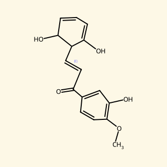 COc1ccc(C(=O)/C=C/C2C(O)=CC=CC2O)cc1O